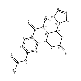 CCC(=O)Oc1ccc(C(=O)N(C)C2CCC(=S)CC2N2CC=CC2)cc1